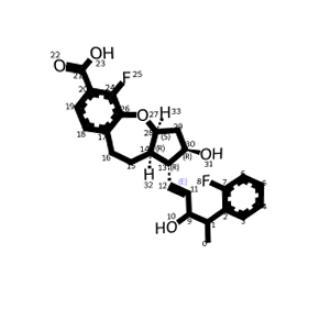 CC(c1ccccc1F)C(O)/C=C/[C@@H]1[C@H]2CCc3ccc(C(=O)O)c(F)c3O[C@H]2C[C@H]1O